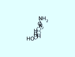 CC[C@@H]1C(=NOCCN)CC[C@@]2(C)C1CC[C@H]1[C@@H]3CC[C@H](O)[C@@]3(C)CC[C@@H]12